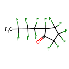 O=C1C(F)(F)C(F)(F)C(F)(F)C1(F)C(F)(F)C(F)(F)C(F)(F)C(F)(F)F